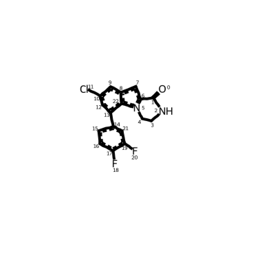 O=C1NCCn2c1cc1cc(Cl)cc(-c3ccc(F)c(F)c3)c12